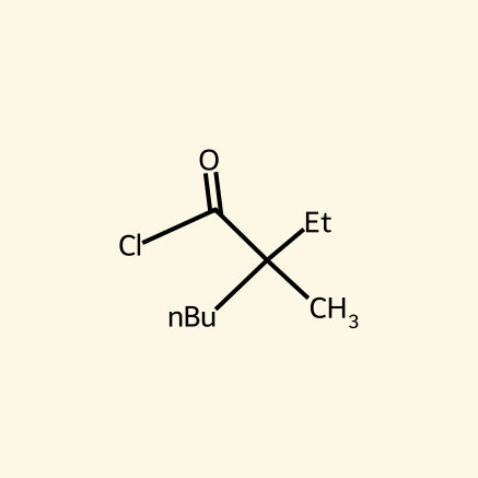 CCCCC(C)(CC)C(=O)Cl